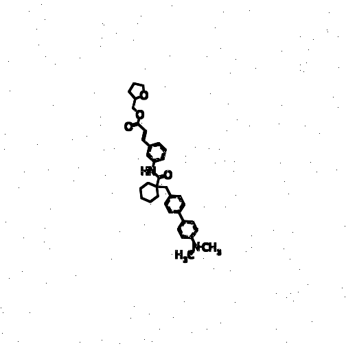 CN(C)c1ccc(-c2ccc(CC3(C(=O)Nc4cccc(/C=C/C(=O)OCC5CCCO5)c4)CCCCC3)cc2)cc1